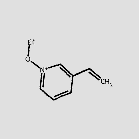 C=Cc1ccc[n+](OCC)c1